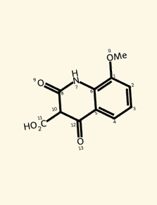 COc1cccc2c1NC(=O)C(C(=O)O)C2=O